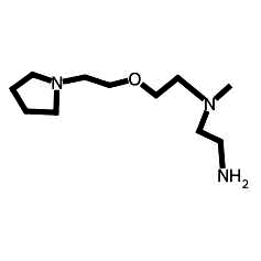 CN(CCN)CCOCCN1CCCC1